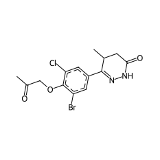 CC(=O)COc1c(Cl)cc(C2=NNC(=O)CC2C)cc1Br